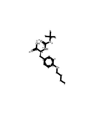 CCCCOc1ccc(C[C@H](NC(=O)OC(C)(C)C)C(=O)O)cc1